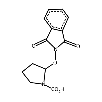 O=C1c2ccccc2C(=O)N1OC1CCCN1C(=O)O